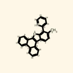 Cc1ccc2c(oc3c4ccccc4c4ccccc4c23)c1-c1ccccn1